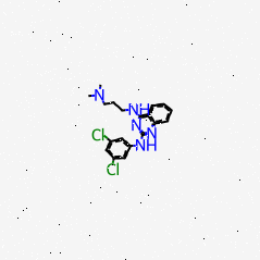 CN(C)CCCNc1nc(Nc2cc(Cl)cc(Cl)c2)nc2ccccc12